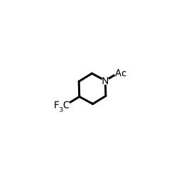 [CH2]C(=O)N1CCC(C(F)(F)F)CC1